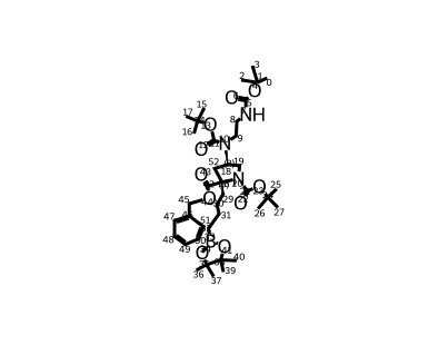 CC(C)(C)OC(=O)NCCN(C(=O)OC(C)(C)C)[C@H]1CN(C(=O)OC(C)(C)C)[C@](CCCCB2OC(C)(C)C(C)(C)O2)(C(=O)OCc2ccccc2)C1